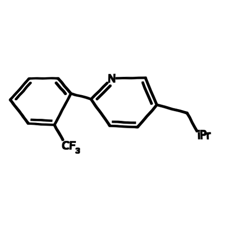 CC(C)Cc1ccc(-c2ccccc2C(F)(F)F)nc1